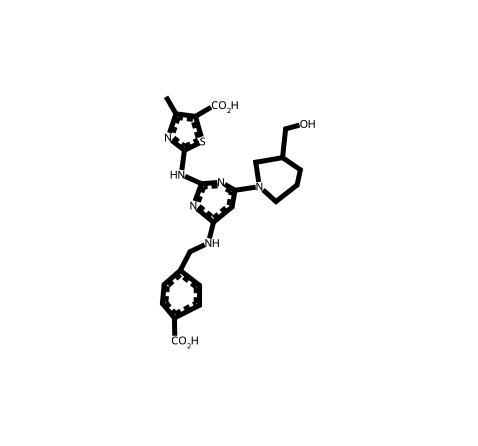 Cc1nc(Nc2nc(NCc3ccc(C(=O)O)cc3)cc(N3CCCC(CO)C3)n2)sc1C(=O)O